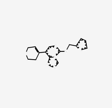 C1=C(c2cnc(NCc3ccco3)n3cnnc23)CCSC1